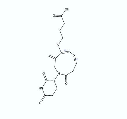 C=C1CN(C2CCC(=O)NC2=O)C(=O)C/C=C\C=C/1SCCCC(=O)O